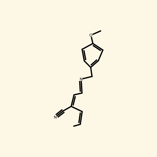 C\C=C/C(C#N)=C\C=N\Cc1ccc(OC)cc1